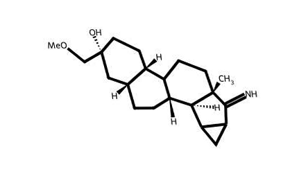 COC[C@@]1(O)CC[C@@H]2C3CC[C@]4(C)C(=N)C5CC5[C@H]4[C@@H]3CC[C@@H]2C1